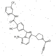 CC#CC(=O)N1CCC(c2nc(-c3ccc(C(=O)Nc4cc(C(F)(F)F)ccn4)c(C#N)c3)n3c(N)nccc23)C1